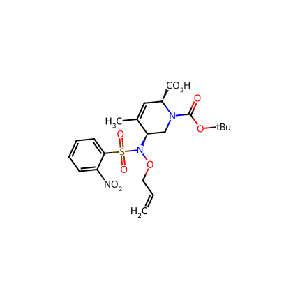 C=CCON([C@@H]1CN(C(=O)OC(C)(C)C)[C@H](C(=O)O)C=C1C)S(=O)(=O)c1ccccc1[N+](=O)[O-]